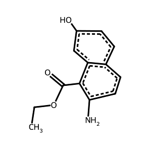 CCOC(=O)c1c(N)ccc2ccc(O)cc12